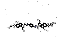 O=C(/C=C/c1ccc(/C=C/C(=O)N2CC(CCl)c3c2cc([N+](=O)[O-])c2cc(S(=O)(=O)NCCO)ccc32)cc1)N1CC(CCl)c2c1cc([N+](=O)[O-])c1cc(S(=O)(=O)NCCO)ccc21